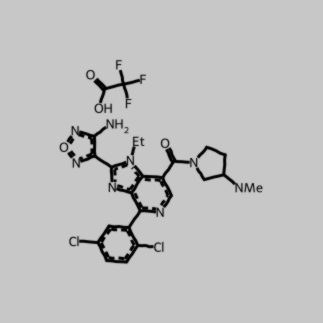 CCn1c(-c2nonc2N)nc2c(-c3cc(Cl)ccc3Cl)ncc(C(=O)N3CCC(NC)C3)c21.O=C(O)C(F)(F)F